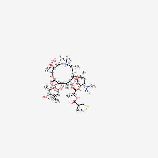 CC[C@@H]1C[C@H](N(C)C)[C@@H](OC(=O)[C@H](C)OC(=O)[C@@H](CS)NC(C)=O)[C@H](O[C@@H]2[C@@H](C)[C@H](O[C@@H]3C[C@@](C)(OC)[C@@H](O)[C@H](C)O3)[C@@H](C)C(=O)O[C@H](CC)[C@@](C)(O)[C@H](O)[C@@H](C)N(C)C[C@H](C)C[C@@]2(C)O)O1